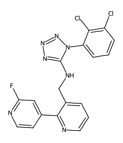 Fc1cc(-c2ncccc2CNc2nnnn2-c2cccc(Cl)c2Cl)ccn1